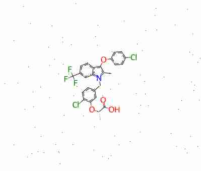 Cc1c(Oc2ccc(Cl)cc2)c2ccc(C(F)(F)F)cc2n1Cc1ccc(Cl)c(O[C@@H](C)C(=O)O)c1